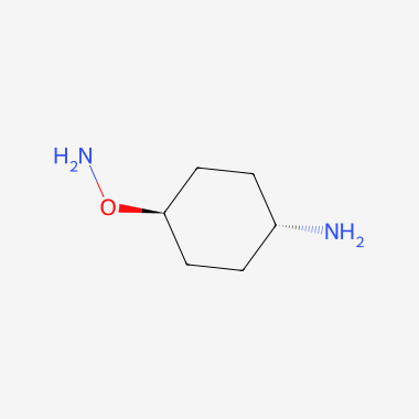 NO[C@H]1CC[C@H](N)CC1